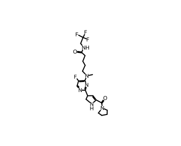 CN(CCCCC(=O)NCC(F)(F)F)c1nc(C2C=C(C(=O)N3CCCC3)NC2)ncc1F